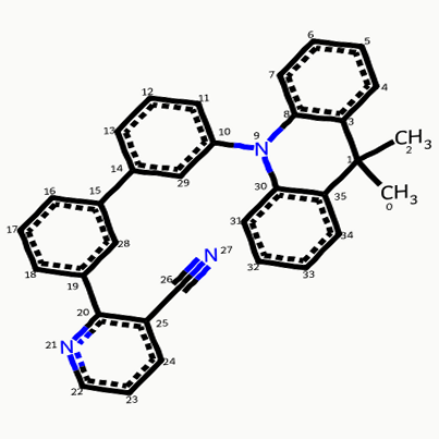 CC1(C)c2ccccc2N(c2cccc(-c3cccc(-c4ncccc4C#N)c3)c2)c2ccccc21